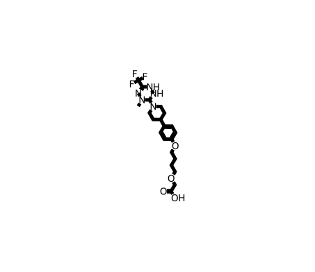 CN1N=C(C(F)(F)F)NNC1N1CCC(c2ccc(OCCCCOCC(=O)O)cc2)CC1